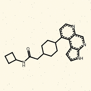 O=C(CC1CCC(c2ccnc3cnc4[nH]ccc4c23)CC1)NC1CCC1